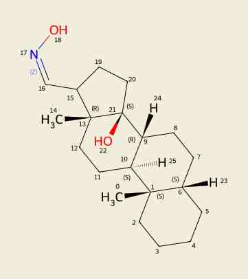 C[C@]12CCCC[C@H]1CC[C@@H]1[C@@H]2CC[C@]2(C)C(/C=N\O)CC[C@]12O